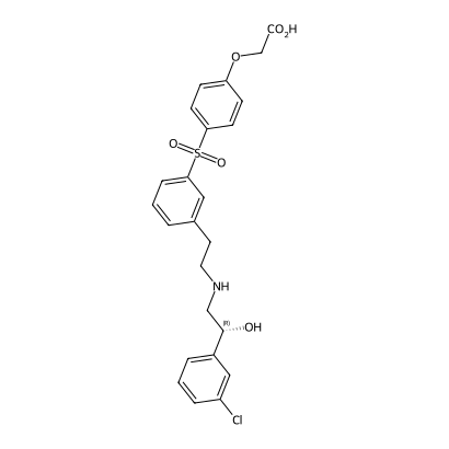 O=C(O)COc1ccc(S(=O)(=O)c2cccc(CCNC[C@H](O)c3cccc(Cl)c3)c2)cc1